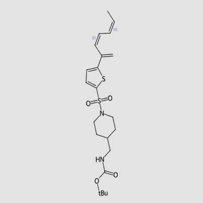 C=C(/C=C\C=C/C)c1ccc(S(=O)(=O)N2CCC(CNC(=O)OC(C)(C)C)CC2)s1